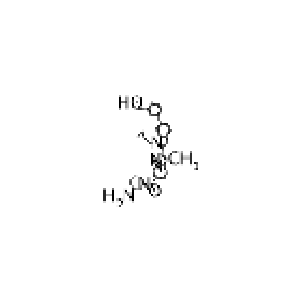 Cc1c(-c2cc3ccc(-c4cccc(CO)c4)cc3n2CC2CC2)nn2cc(C(=O)N3CCC[C@@H](N)C3)ccc12